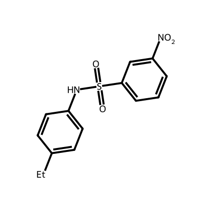 CCc1ccc(NS(=O)(=O)c2cccc([N+](=O)[O-])c2)cc1